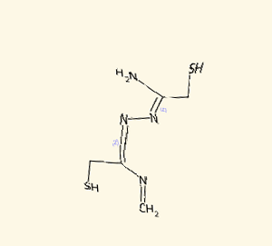 C=N/C(CS)=N\N=C(/N)CS